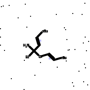 CCCC/C=C/OC(N)(/C=C/CCCC)CC